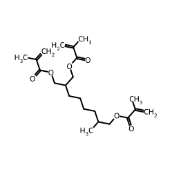 C=C(C)C(=O)OCC(C)CCCCC(COC(=O)C(=C)C)COC(=O)C(=C)C